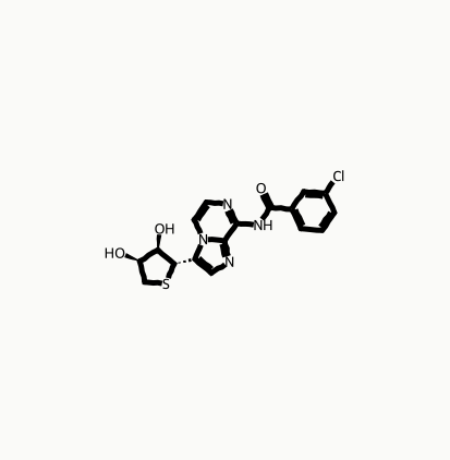 O=C(Nc1nccn2c([C@@H]3SC[C@@H](O)[C@H]3O)cnc12)c1cccc(Cl)c1